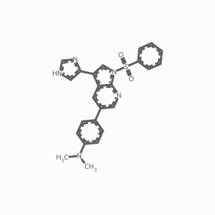 CN(C)c1ccc(-c2cnc3c(c2)c(-c2c[nH]cn2)cn3S(=O)(=O)c2ccccc2)cc1